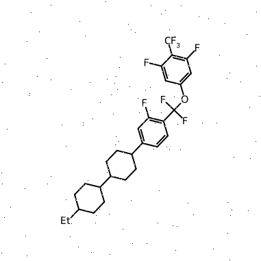 CCC1CCC(C2CCC(c3ccc(C(F)(F)Oc4cc(F)c(C(F)(F)F)c(F)c4)c(F)c3)CC2)CC1